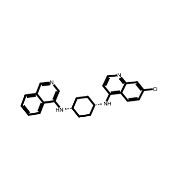 Clc1ccc2c(N[C@H]3CC[C@@H](Nc4cncc5ccccc45)CC3)ccnc2c1